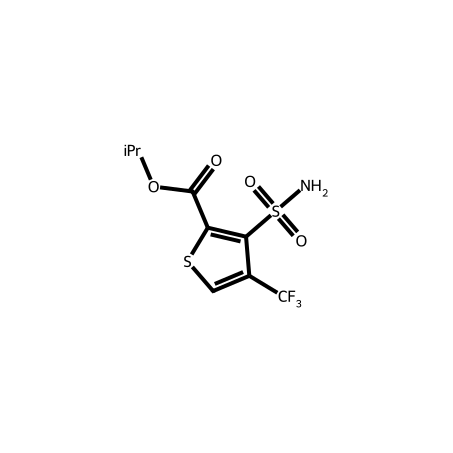 CC(C)OC(=O)c1scc(C(F)(F)F)c1S(N)(=O)=O